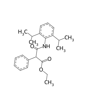 CCOC(=O)C(C(=O)Nc1c(C(C)C)cccc1C(C)C)c1ccccc1